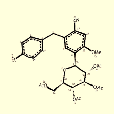 CCc1ccc(Cc2cc([C@@H]3O[C@H](COC(C)=O)[C@@H](OC(C)=O)[C@H](OC(C)=O)[C@H]3OC(C)=O)c(OC)cc2C#N)cc1